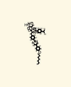 CCCCCCCOc1ccc(-c2cnc(-c3ccc(CC(NC(=O)c4ccc(C(C)C)cc4)C(=O)NC(CO)C(=O)O)cc3)nc2)cc1